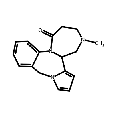 CN1CCC(=O)N2c3ccccc3Cn3cccc3C2C1